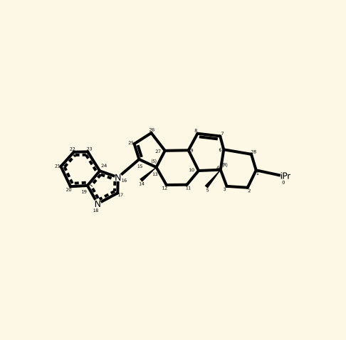 CC(C)C1CC[C@@]2(C)C(C=CC3C2CC[C@]2(C)C(n4cnc5ccccc54)=CCC32)C1